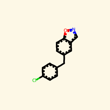 Clc1ccc(Cc2ccc3oncc3c2)cc1